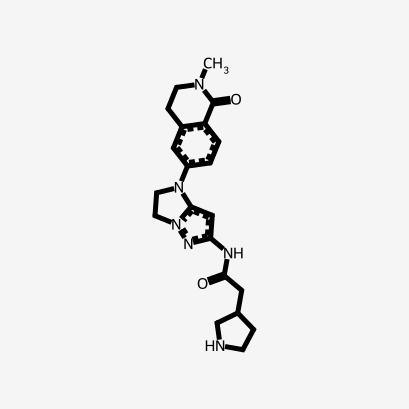 CN1CCc2cc(N3CCn4nc(NC(=O)CC5CCNC5)cc43)ccc2C1=O